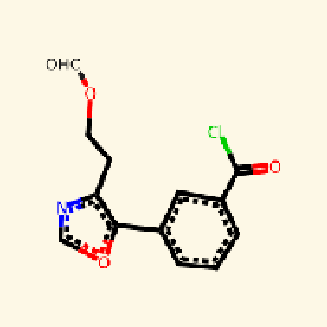 O=COCCc1ncoc1-c1cccc(C(=O)Cl)c1